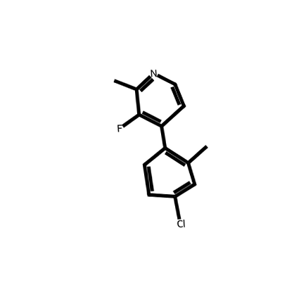 Cc1cc(Cl)ccc1-c1ccnc(C)c1F